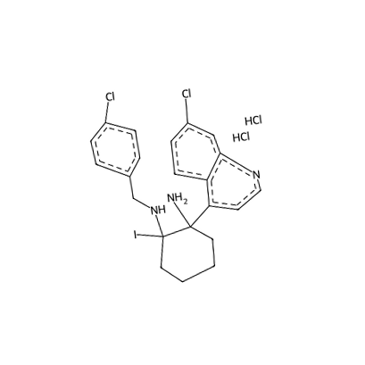 Cl.Cl.NC1(c2ccnc3cc(Cl)ccc23)CCCCC1(I)NCc1ccc(Cl)cc1